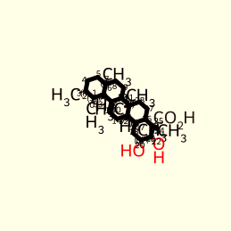 C[C@H]1[C@H](C)CC[C@]2(C)CC[C@]3(C)C(=CC[C@@H]4[C@@]5(C)C[C@H](O)[C@H](O)C(C)(C(=O)O)C5CC[C@]43C)[C@H]12